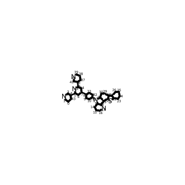 c1cncc(-c2cc(-c3ccc(-n4c5cccnc5c5c6sc7ccccc7c6ccc54)cc3)cc(-c3cccnc3)n2)c1